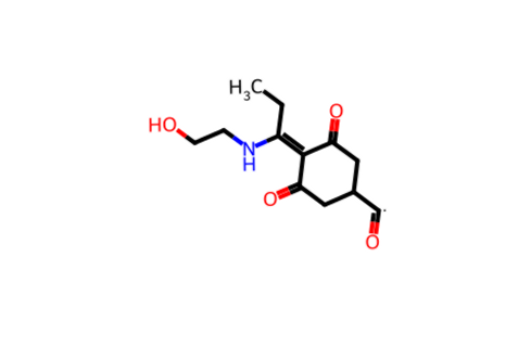 CCC(NCCO)=C1C(=O)CC([C]=O)CC1=O